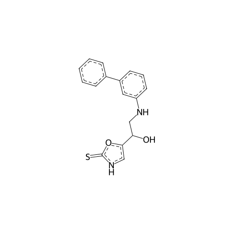 OC(CNc1cccc(-c2ccccc2)c1)c1c[nH]c(=S)o1